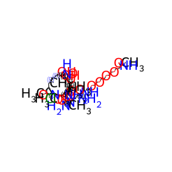 CNC(=O)CCOCCOCCOCCOCCNC(=O)[C@@H](N)CCC(=O)N(C)[C@@H](N)C(=O)O[C@H]1CC(=O)N(C)c2cc(cc(OC)c2Cl)C/C(C)=C/C=C/[C@@H](O)[C@@]2(O)C[C@]3(C[C@]3(C)[C@@H]3O[C@@]13N)OC(=O)N2